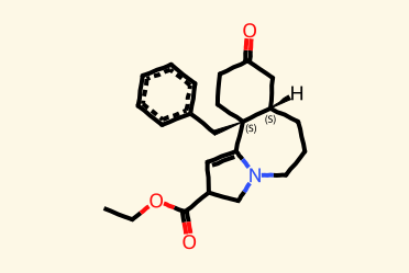 CCOC(=O)C1C=C2N(CCC[C@H]3CC(=O)CC[C@@]23Cc2ccccc2)C1